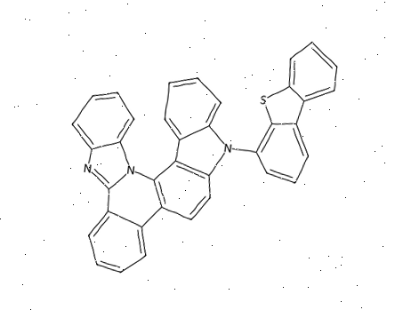 c1ccc2c(c1)nc1c3ccccc3c3ccc4c(c5ccccc5n4-c4cccc5c4sc4ccccc45)c3n21